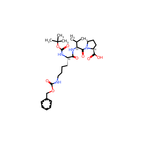 CC(C)[C@H](NC(=O)[C@H](CCCCNC(=O)OCc1ccccc1)NC(=O)OC(C)(C)C)C(=O)N1CCC[C@H]1C(=O)O